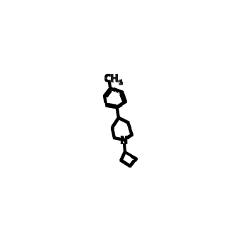 Cc1ccc(C2CCN(C3CCC3)CC2)cc1